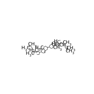 CC(C)CCC[C@@H](C)[C@H]1CC[C@H]2[C@@H]3CC=C4C[C](C5CC[C@@]6(C)C(=CCC7C6CC[C@@]6(C)C7CC[C@@H]6[C@H](C)CCCC(C)C)C5)CC[C@]4(C)[C@H]3CC[C@]12C